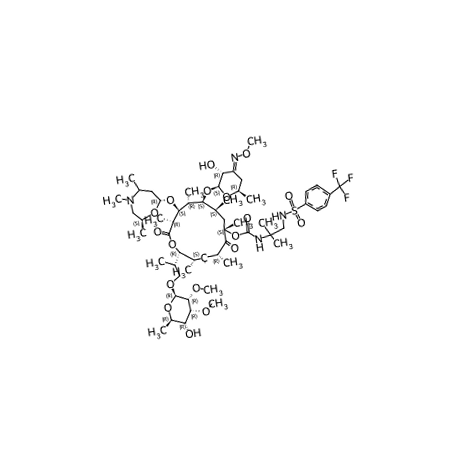 CON=C1C[C@@H](C)O[C@@H](O[C@@H]2[C@@H](C)[C@H](O[C@H]3CC(C)N(C)C[C@H](C)O3)[C@@H](C)C(=O)O[C@@H](C(C)CO[C@@H]3O[C@H](C)[C@@H](O)[C@@H](OC)[C@H]3OC)[C@@H](C)[CH][C@@H](C)C(=O)[C@@](C)(OC(=O)NC(C)(C)CNS(=O)(=O)c3ccc(C(F)(F)F)cc3)C[C@@H]2C)[C@@H]1O